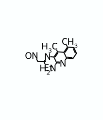 CC/C(CN=O)=N\c1c(N)nc2cccc(C)c2c1C